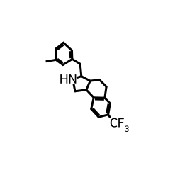 Cc1cccc(CC2NCC3c4ccc(C(F)(F)F)cc4CCC23)c1